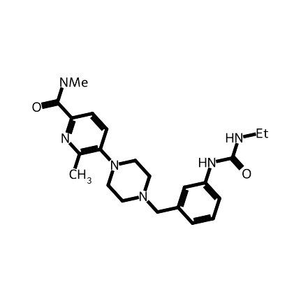 CCNC(=O)Nc1cccc(CN2CCN(c3ccc(C(=O)NC)nc3C)CC2)c1